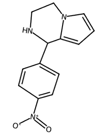 O=[N+]([O-])c1ccc(C2NCCn3cccc32)cc1